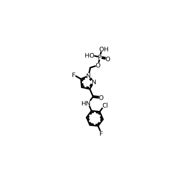 O=C(Nc1ccc(F)cc1Cl)c1cc(F)n(COP(=O)(O)O)n1